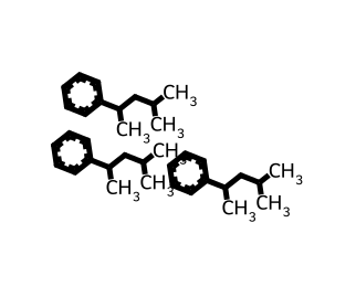 CC(C)CC(C)c1ccccc1.CC(C)CC(C)c1ccccc1.CC(C)CC(C)c1ccccc1